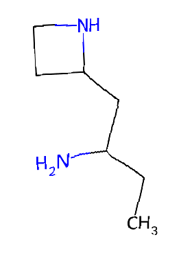 CCC(N)CC1CCN1